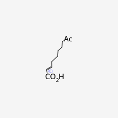 CC(=O)CCCCC/C=C/C(=O)O